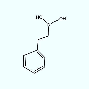 O[N+](O)CCc1ccccc1